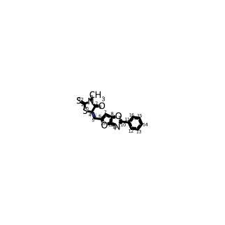 CN1C(=O)/C(=C\c2cc3oc(-c4ccccc4)nc3o2)SC1=S